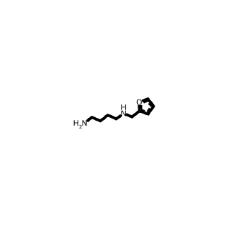 NCCCCNCc1ccco1